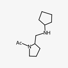 CC(=O)N1CCCC1CNC1CCCC1